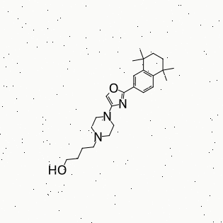 CC1(C)CCC(C)(C)c2cc(-c3nc(N4CCN(CCCCO)CC4)co3)ccc21